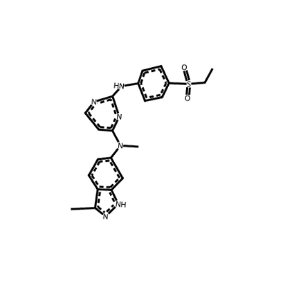 CCS(=O)(=O)c1ccc(Nc2nccc(N(C)c3ccc4c(C)n[nH]c4c3)n2)cc1